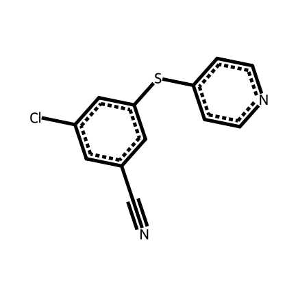 N#Cc1cc(Cl)cc(Sc2ccncc2)c1